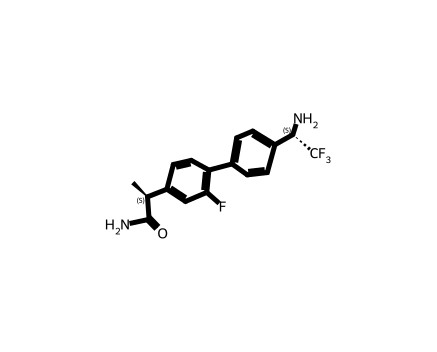 C[C@H](C(N)=O)c1ccc(-c2ccc([C@H](N)C(F)(F)F)cc2)c(F)c1